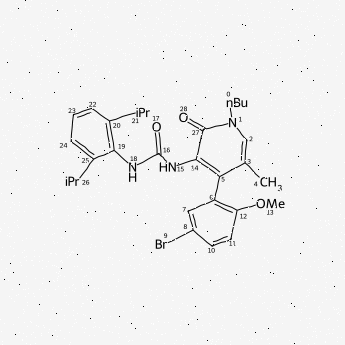 CCCCn1cc(C)c(-c2cc(Br)ccc2OC)c(NC(=O)Nc2c(C(C)C)cccc2C(C)C)c1=O